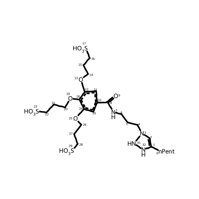 CCCCCC1=CN(CCCNC(=O)c2cc(OCCCS(=O)(=O)O)c(OCCCS(=O)(=O)O)c(OCCCS(=O)(=O)O)c2)NN1